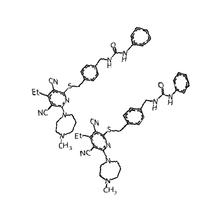 CCc1c(C#N)c(SCc2ccc(CNC(=O)Nc3ccccc3)cc2)nc(N2CCCN(C)CC2)c1C#N.CCc1c(C#N)c(SCc2ccc(CNC(=O)Nc3ccccc3)cc2)nc(N2CCCN(C)CC2)c1C#N